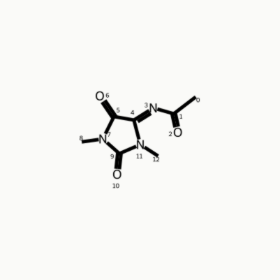 CC(=O)N=C1C(=O)N(C)C(=O)N1C